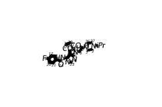 CC(C)N1CCN(CCn2ncc3c(NC(=O)c4ccc(F)cc4)ncnc32)CC1.O=C(O)/C=C\C(=O)O